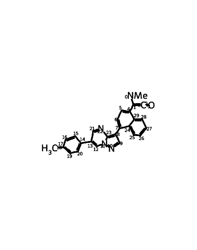 CNC(=C=O)c1ccc(-c2cnn3cc(-c4ccc(C)cc4)cnc23)c2ccccc12